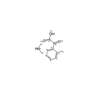 CNC.Cc1ccccc1C(=O)C(=O)O